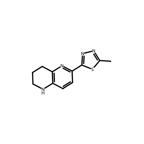 Cc1nnc(-c2ccc3c(n2)CCCN3)s1